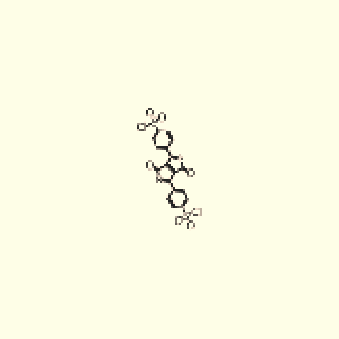 O=c1nc(-c2ccc(S(=O)(=O)Cl)cc2)c2c(=O)nc(-c3ccc(S(=O)(=O)Cl)cc3)c1=2